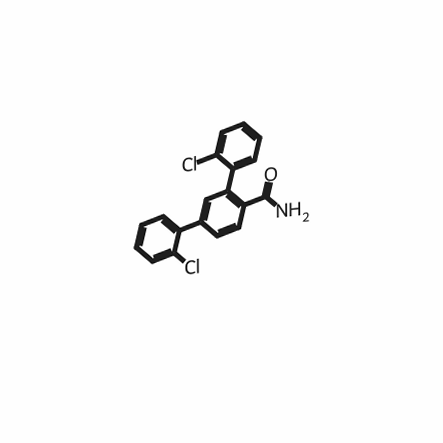 NC(=O)c1ccc(-c2ccccc2Cl)cc1-c1ccccc1Cl